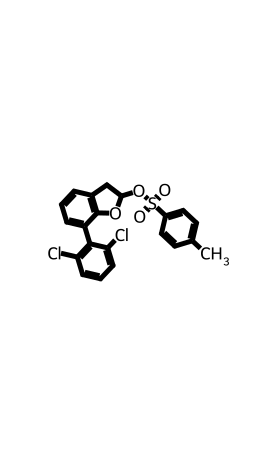 Cc1ccc(S(=O)(=O)OC2Cc3cccc(-c4c(Cl)cccc4Cl)c3O2)cc1